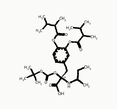 CCC(C)N[C@@](Cc1ccc(OC(=O)C(C)C(C)C)c(OC(=O)C(C)C(C)C)c1)(OC(=O)OC(C)(C)C)C(=O)O